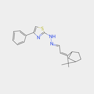 CC1(C)C(=CC=NNc2nc(-c3ccccc3)cs2)C2CCC1C2